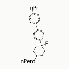 CCCCCC1CCC(F)(c2ccc(-c3ccc(CCC)cc3)cc2)CC1